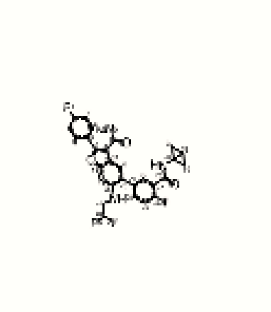 CNC(=O)c1c(-c2ccc(F)cc2)oc2nc(NCC(F)F)c(-c3ccc(F)c(C(=O)NC45CC4C5)c3)cc12